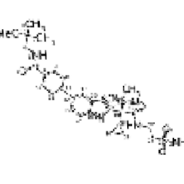 COC(C)(C)CNC(=O)c1ccc(-c2ccc3nc(C(C(=O)NCCS(N)(=O)=O)(C4CC4)S(C)(=O)=O)sc3c2)cc1